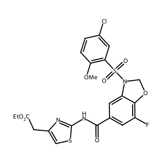 CCOC(=O)Cc1csc(NC(=O)c2cc(F)c3c(c2)N(S(=O)(=O)c2cc(Cl)ccc2OC)CO3)n1